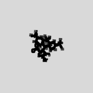 Cc1c(Br)sc(C(=O)O)c1C1=C2C=CC(=[N+](C)C)C=C2[Si](C)(C)c2cc(N(C)C)ccc21